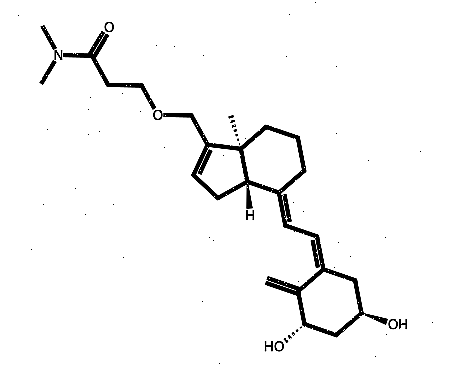 C=C1C(=CC=C2CCC[C@]3(C)C(COCCC(=O)N(C)C)=CC[C@@H]23)C[C@@H](O)C[C@@H]1O